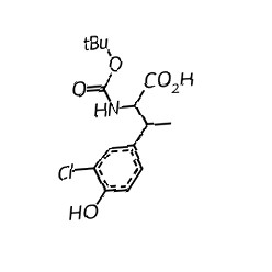 CC(c1ccc(O)c(Cl)c1)C(NC(=O)OC(C)(C)C)C(=O)O